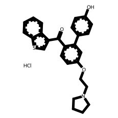 Cl.O=C(c1ccc(OCCN2CCCC2)cc1-c1ccc(O)cc1)c1csc2ccccc12